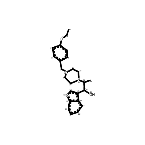 CCOc1ccc(CN2CCN(C(C)C(O)c3csc4ccccc34)CC2)cc1